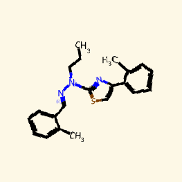 CCCN(/N=C/c1ccccc1C)c1nc(-c2ccccc2C)cs1